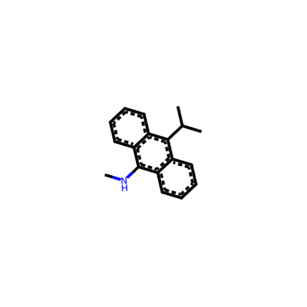 CNc1c2ccccc2c(C(C)C)c2ccccc12